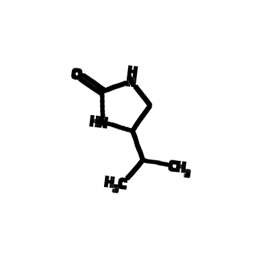 CC(C)C1CNC(=O)N1